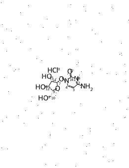 Cl.Nc1ccn(O[C@H]2O[C@H](CO)[C@@H](O)[C@@H]2O)c(=O)n1